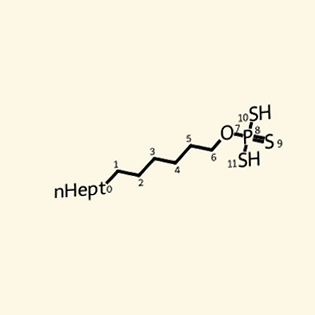 CCCCCCCCCCCCCOP(=S)(S)S